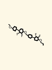 C=CCOc1ccc(-c2ccc(COc3ccc(-c4ccc(OCC)cc4)c(F)c3F)cc2)c(F)c1F